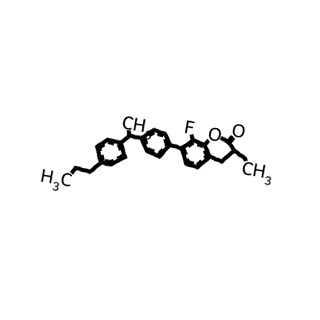 CCCc1ccc(C(C)c2ccc(-c3ccc4c(c3F)OC(=O)C(CC)C4)cc2)cc1